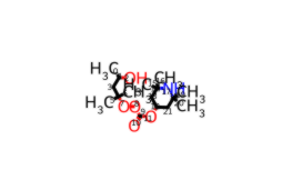 CC(O)CC(C)(C)OOC(=O)OC1CC(C)(C)NC(C)(C)C1